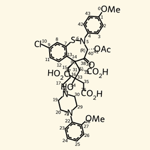 COc1ccc(N2Sc3cc(Cl)ccc3[C@@](CCCN3CCN(c4ccccc4OC)CC3)([C@H](C(=O)O)C(O)(CC(=O)O)C(=O)O)C(=O)[C@H]2OC(C)=O)cc1